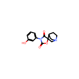 O=C1OC2(CN3CCC2CC3)C(=O)N1c1cccc(O)c1